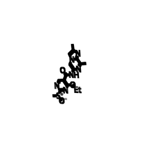 CCOc1nc([S+](C)[O-])ncc1C(=O)Nc1cn2cc(C)nc2c(C)n1